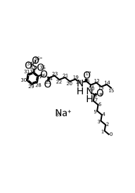 CCCCCCCCC(=O)NC(CCCC)C(=O)NCCCCCC(=O)Oc1ccccc1S(=O)(=O)[O-].[Na+]